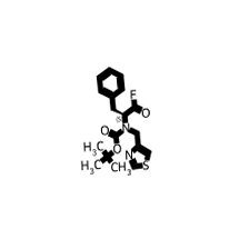 CC(C)(C)OC(=O)N(Cc1cscn1)[C@@H](Cc1ccccc1)C(=O)F